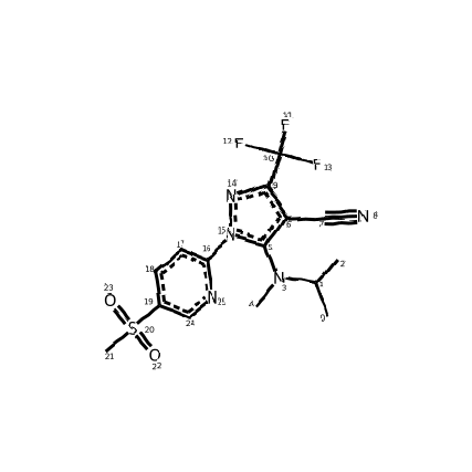 CC(C)N(C)c1c(C#N)c(C(F)(F)F)nn1-c1ccc(S(C)(=O)=O)cn1